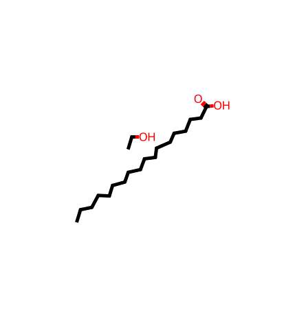 CCCCCCCCCCCCCCCCCC(=O)O.CCO